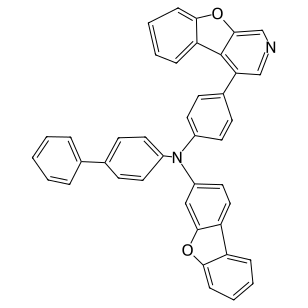 c1ccc(-c2ccc(N(c3ccc(-c4cncc5oc6ccccc6c45)cc3)c3ccc4c(c3)oc3ccccc34)cc2)cc1